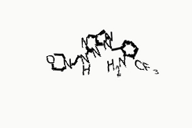 Nc1c(Cn2ncc3cnc(NCCN4CCOCC4)nc32)cccc1C(F)(F)F